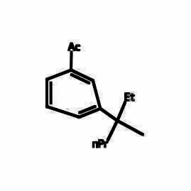 CCCC(C)(CC)c1cccc(C(C)=O)c1